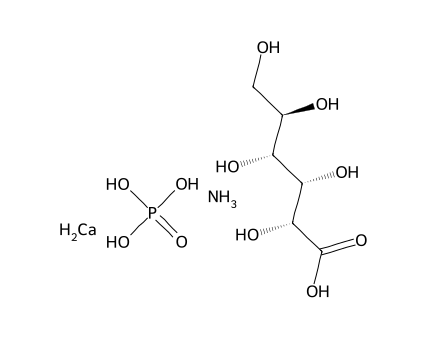 N.O=C(O)[C@H](O)[C@@H](O)[C@H](O)[C@H](O)CO.O=P(O)(O)O.[CaH2]